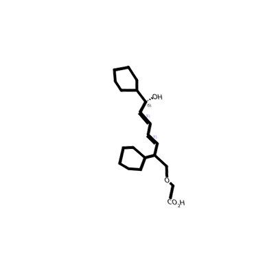 O=C(O)COCC(/C=C/C=C/[C@@H](O)C1CCCCC1)C1CCCCC1